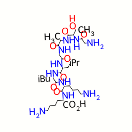 CC[C@H](C)[C@H](NC(=O)[C@H](CC(C)C)NC(=O)CNC(=O)[C@H](C)NC(=O)[C@@H](NC(=O)CN)[C@@H](C)O)C(=O)N[C@@H](CCCCN)C(=O)N[C@@H](CCCCN)C(=O)O